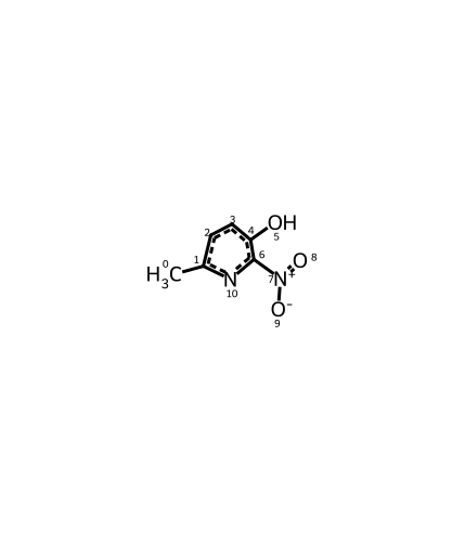 Cc1ccc(O)c([N+](=O)[O-])n1